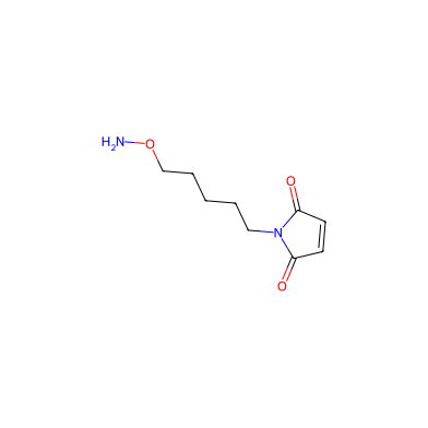 NOCCCCCN1C(=O)C=CC1=O